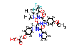 COc1ccc([C@H](NC(=O)[C@H](Cc2ccc(OCC(=O)O)cc2)NC(=O)c2ccccn2)C(=O)N[C@H](C(=O)C(F)(F)F)C(C)C)cc1